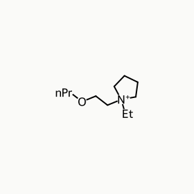 CCCOCC[N+]1(CC)CCCC1